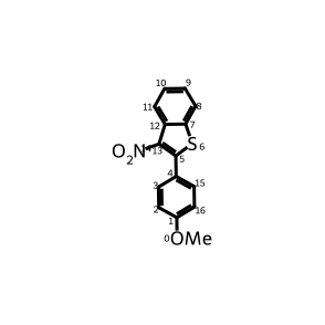 COc1ccc(-c2sc3ccccc3c2[N+](=O)[O-])cc1